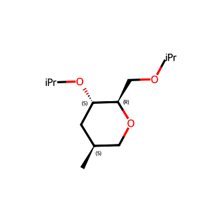 CC(C)OC[C@H]1OC[C@@H](C)C[C@@H]1OC(C)C